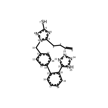 C=CCCc1nc(S)nn1Cc1ccc(-c2ccccc2-c2nnn[nH]2)cc1